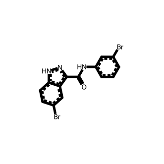 O=C(Nc1cccc(Br)c1)c1n[nH]c2ccc(Br)cc12